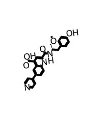 COC[C@H](Cc1ccc(O)cc1)NC(=O)c1cc(C(=O)O)c2cc(-c3ccncc3)ccc2n1